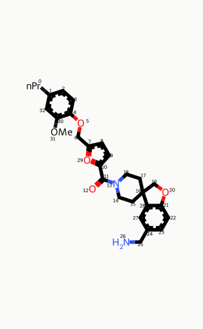 CCCc1ccc(OCc2ccc(C(=O)N3CCC4(CC3)COc3ccc(CN)cc34)o2)c(OC)c1